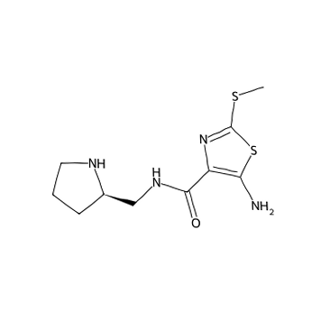 CSc1nc(C(=O)NC[C@H]2CCCN2)c(N)s1